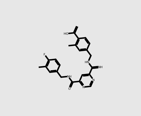 C=C(O)c1ccc(CNC(=N)c2cc(C(=O)NCc3ccc(F)c(C)c3)ncn2)cc1C